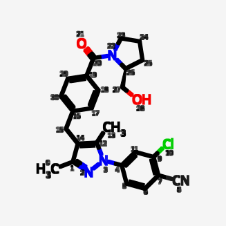 Cc1nn(-c2ccc(C#N)c(Cl)c2)c(C)c1Cc1ccc(C(=O)N2CCC[C@H]2CO)cc1